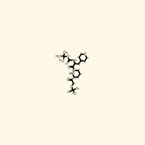 CC(C)(C)OC(=O)NC(CC1CCOCC1)C(=O)N1CCC[C@@H](C(=O)COC(Cl)(Cl)Cl)N1